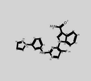 NC(=O)c1cn(-c2nc(Nc3cccc(-n4cccn4)c3)ncc2F)c2ccccc12